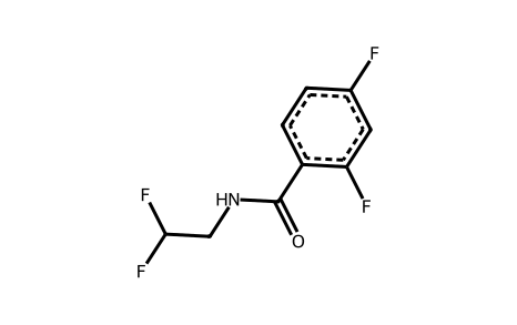 O=C(NCC(F)F)c1ccc(F)cc1F